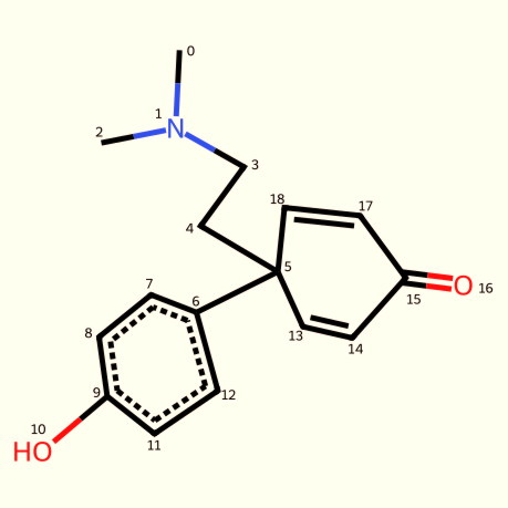 CN(C)CCC1(c2ccc(O)cc2)C=CC(=O)C=C1